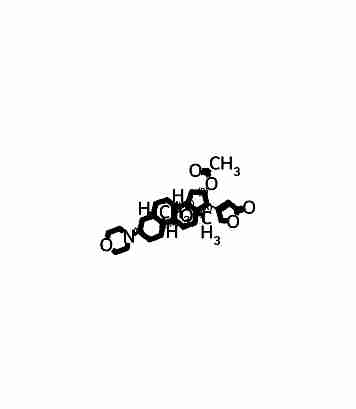 CC(=O)O[C@@H]1C[C@@]2(O)[C@@H]3CC[C@@H]4C[C@H](N5CCOCC5)CC[C@@]4(C)[C@@H]3CC[C@]2(C)[C@H]1C1=CC(=O)OC1